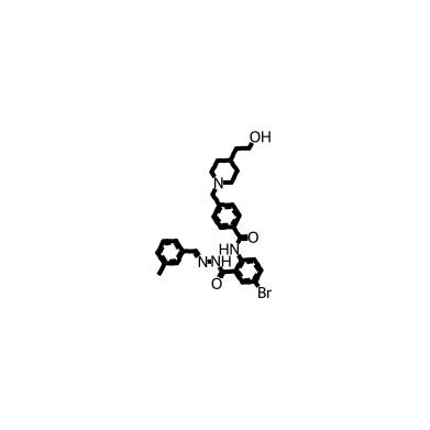 Cc1cccc(C=NNC(=O)c2cc(Br)ccc2NC(=O)c2ccc(CN3CCC(CCO)CC3)cc2)c1